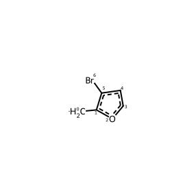 [CH2]c1occc1Br